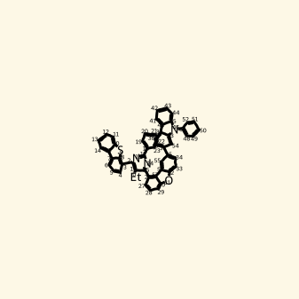 CCc1c(-c2cccc3c2sc2ccccc23)nc(-c2ccccc2)nc1-c1cccc2oc3ccc(-c4ccc5c6ccccc6n(-c6ccccc6)c5c4)cc3c12